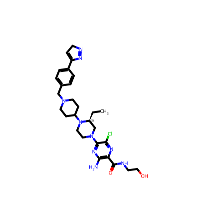 CC[C@H]1CN(c2nc(N)c(C(=O)NCCO)nc2Cl)CCN1C1CCN(Cc2ccc(C3=CCN=N3)cc2)CC1